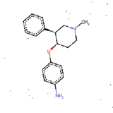 CN1CC[C@@H](Oc2ccc(N)cc2)[C@@H](c2ccccc2)C1